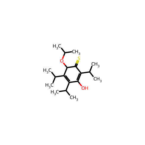 CC(C)OC1C(=S)C(C(C)C)=C(O)C(C(C)C)=C1C(C)C